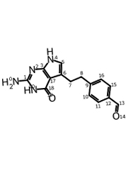 Nc1nc2[nH]cc(CCc3ccc(C=O)cc3)c2c(=O)[nH]1